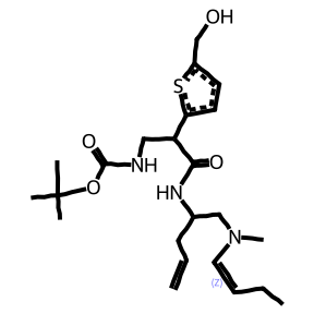 C=CCC(CN(C)/C=C\CC)NC(=O)C(CNC(=O)OC(C)(C)C)c1ccc(CO)s1